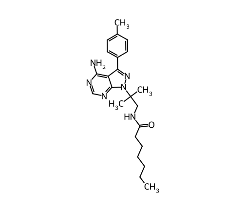 CCCCCCC(=O)NCC(C)(C)n1nc(-c2ccc(C)cc2)c2c(N)ncnc21